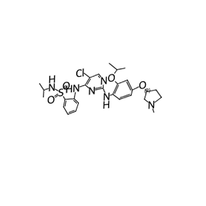 CC(C)NS(=O)(=O)c1ccccc1Nc1nc(Nc2ccc(O[C@@H]3CCN(C)C3)cc2OC(C)C)ncc1Cl